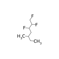 CCC(C)CC(F)C(F)CF